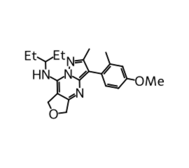 CCC(CC)Nc1c2c(nc3c(-c4ccc(OC)cc4C)c(C)nn13)COC2